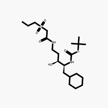 CCCS(=O)(=O)CC(=O)NCC[C@H](O)[C@H](CC1CCCCC1)NC(=O)OC(C)(C)C